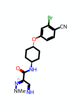 CN/N=C(\C=N)C(=O)N[C@H]1CC[C@H](Oc2ccc(C#N)c(Br)c2)CC1